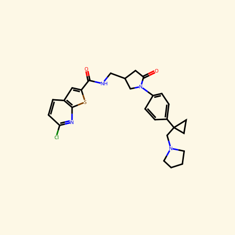 O=C(NCC1CC(=O)N(c2ccc(C3(CN4CCCC4)CC3)cc2)C1)c1cc2ccc(Cl)nc2s1